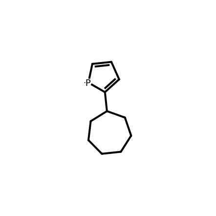 C1=C[P]C(C2CCCCCC2)=C1